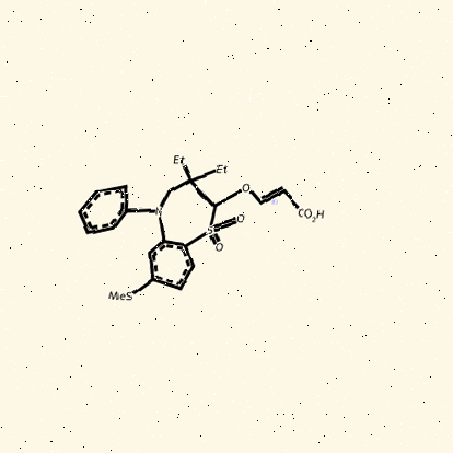 CCC1(CC)CN(c2ccccc2)c2cc(SC)ccc2S(=O)(=O)C1O/C=C/C(=O)O